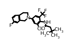 CC(C)(C)CC(=O)Nc1c(Cl)cc(N2CCc3ccc(F)cc3C2)cc1C(F)(F)F